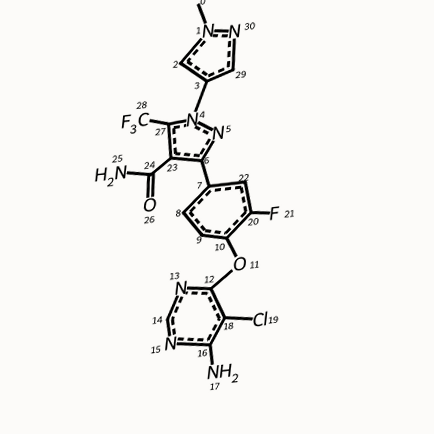 Cn1cc(-n2nc(-c3ccc(Oc4ncnc(N)c4Cl)c(F)c3)c(C(N)=O)c2C(F)(F)F)cn1